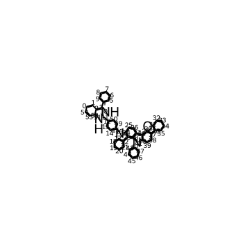 C1=CC2=C(c3ccccc3)NC(c3ccc(-n4c5ccccc5c5c4ccc4c6c7oc8ccccc8c7ccc6n(-c6ccccc6)c45)cc3)NC2C=C1